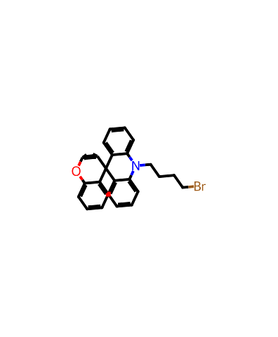 BrCCCCN1c2ccccc2C2(c3ccccc3Oc3ccccc32)c2ccccc21